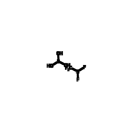 FN(F)C(F)(F)F.OB(O)O